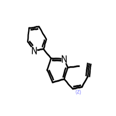 C#C/C=C\c1ccc(-c2ccccn2)nc1C